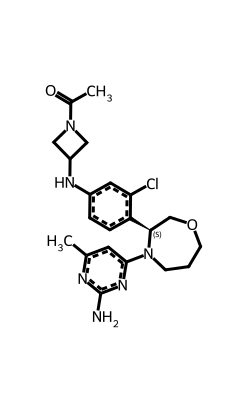 CC(=O)N1CC(Nc2ccc([C@H]3COCCCN3c3cc(C)nc(N)n3)c(Cl)c2)C1